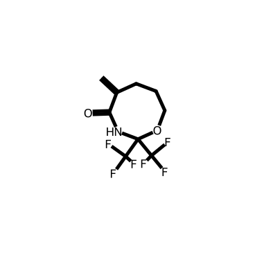 C=C1CCCOC(C(F)(F)F)(C(F)(F)F)NC1=O